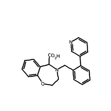 O=C(O)C1c2ccccc2OCCN1Cc1ccccc1-c1cccnc1